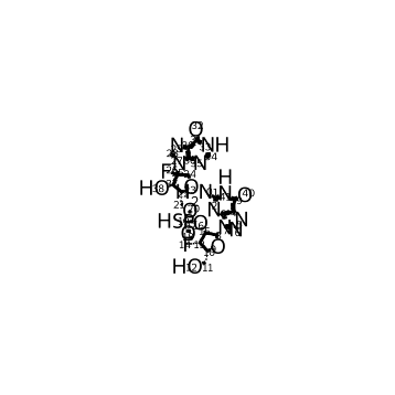 Nc1nc2c(nnn2[C@@H]2O[C@H](CO)[C@H](F)[C@H]2OP(=O)(S)OC[C@H]2OCC(F)(n3cnc4c(=O)[nH]cnc43)[C@@H]2O)c(=O)[nH]1